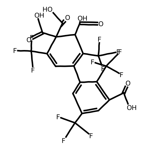 O=C(O)c1cc(C(F)(F)F)cc(C2=C(C(F)(F)F)C(C(=O)O)C(C(=O)O)(C(=O)O)C(C(F)(F)F)=C2)c1C(F)(F)F